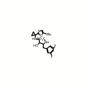 CC(C)(C)c1cnc(C2(NCC(O)C(Cc3cc(F)cc(F)c3)NC(=O)O)CC2)o1